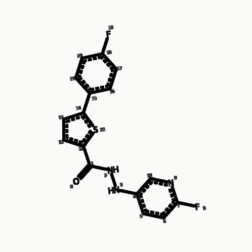 O=C(NNc1ccc(F)nc1)c1ccc(-c2ccc(F)cc2)s1